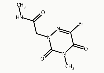 CNC(=O)Cn1nc(Br)c(=O)n(C)c1=O